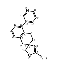 NC1=N[C@]2(CCc3c(cccc3-c3cccnc3)C2)CO1